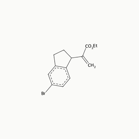 C=C(C(=O)OCC)C1CCc2cc(Br)ccc21